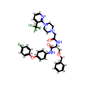 O=C(CN1CCN(c2ncccc2C(F)(F)F)CC1)N[C@@H](COCc1ccccc1)C(=O)Nc1ccc(Oc2ccc(F)cc2)cc1